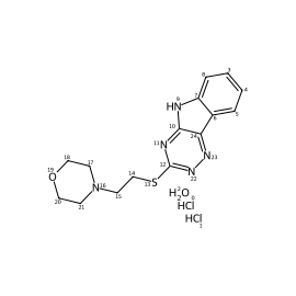 Cl.Cl.O.c1ccc2c(c1)[nH]c1nc(SCCN3CCOCC3)nnc12